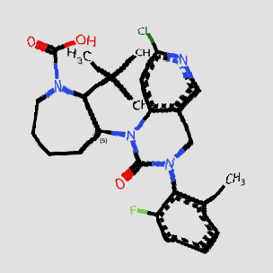 Cc1cccc(F)c1N1Cc2cnc(Cl)cc2N([C@H]2CCCCN(C(=O)O)C2C(C)(C)C)C1=O